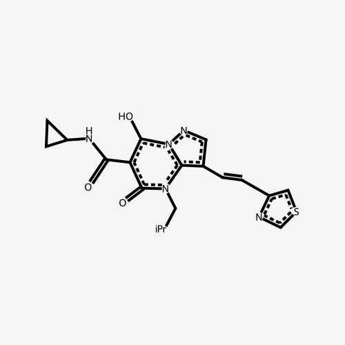 CC(C)Cn1c(=O)c(C(=O)NC2CC2)c(O)n2ncc(/C=C/c3cscn3)c12